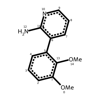 COc1cccc(-c2cccnc2N)c1OC